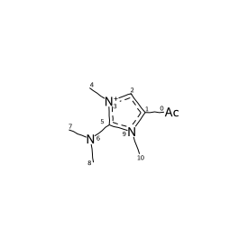 CC(=O)c1c[n+](C)c(N(C)C)n1C